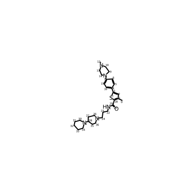 Cc1cc(-c2ccc(N3CCN(C)CC3)cc2)sc1C(=O)NCCCN1CCC(N2CCCCC2)CC1